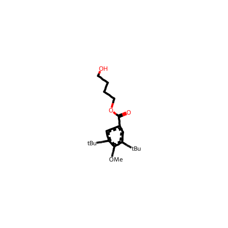 COc1c(C(C)(C)C)cc(C(=O)OCCCCO)cc1C(C)(C)C